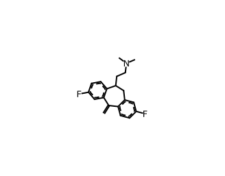 C=C1c2ccc(F)cc2CC(CCN(C)C)c2ccc(F)cc21